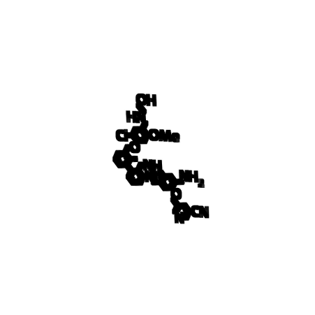 COc1cc(OCc2cccc(-c3cccc(NCc4cc(OCc5cncc(C#N)c5)c(CN)cc4Cl)c3C=N)c2C)c(Cl)cc1CNCCO